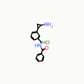 Cl.NC1CC1c1cccc(CNC(=O)c2ccccc2)c1